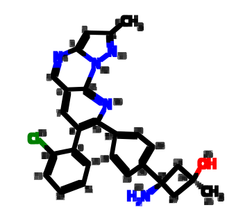 Cc1cc2ncc3cc(-c4ccccc4Cl)c(-c4ccc([C@]5(N)C[C@@](C)(O)C5)cc4)nc3n2n1